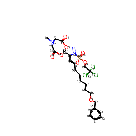 CN1CC(=O)OB(C(/C=C/CCCCCCOCc2ccccc2)NS(=O)(=O)OCC(Cl)(Cl)Cl)OC(=O)C1